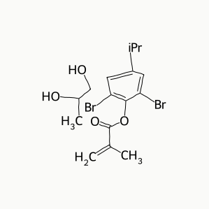 C=C(C)C(=O)Oc1c(Br)cc(C(C)C)cc1Br.CC(O)CO